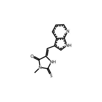 CN1C(=O)/C(=C/c2c[nH]c3ncccc23)NC1=S